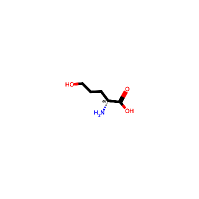 N[C@H](CCCO)C(=O)O